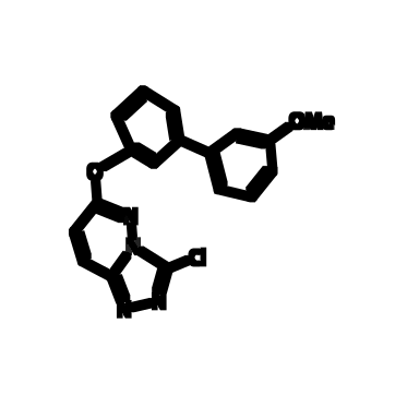 COc1cccc(-c2cccc(Oc3ccc4nnc(Cl)n4n3)c2)c1